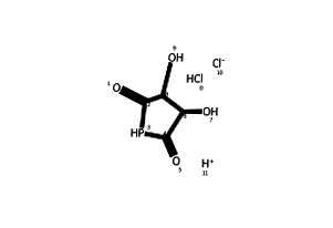 Cl.O=C1PC(=O)C(O)C1O.[Cl-].[H+]